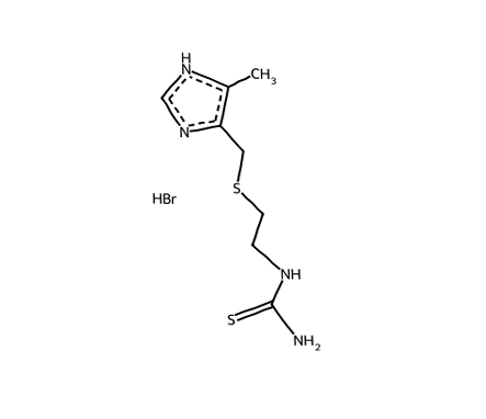 Br.Cc1[nH]cnc1CSCCNC(N)=S